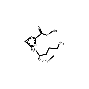 CC(C)(C)OC(=O)c1ncc[nH]1.CN.NCCC[C@H](N)C(=O)O